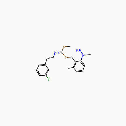 CSC(=NCCc1cccc(Cl)c1)SCc1c(C)cccc1N(C)N